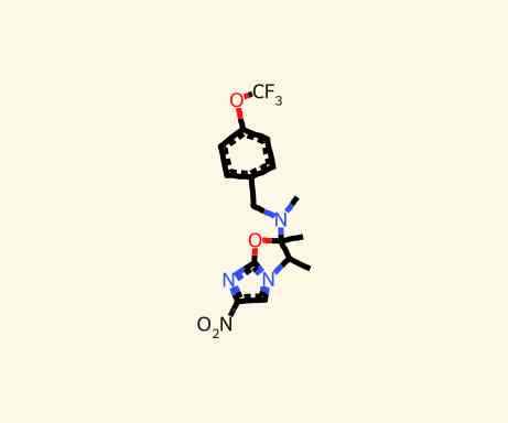 CC1n2cc([N+](=O)[O-])nc2OC1(C)N(C)Cc1ccc(OC(F)(F)F)cc1